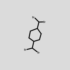 BrC(Br)C1[CH]CC(C(Br)Br)[CH]C1